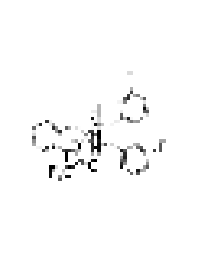 O=C(OC1(Cc2ccccc2F)NC(c2cccc(F)c2)C(c2cccc(F)c2)N1)C(F)(F)F